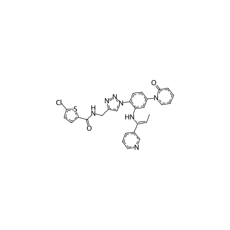 C/C=C(\Nc1cc(-n2ccccc2=O)ccc1-n1cc(CNC(=O)c2ccc(Cl)s2)nn1)c1cccnc1